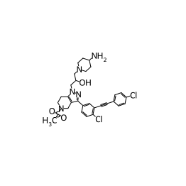 CS(=O)(=O)N1CCc2c(c(-c3ccc(Cl)c(C#Cc4ccc(Cl)cc4)c3)nn2CC(O)CN2CCC(N)CC2)C1